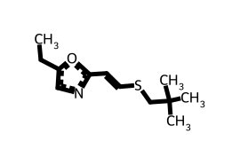 CCc1cnc(C=CSCC(C)(C)C)o1